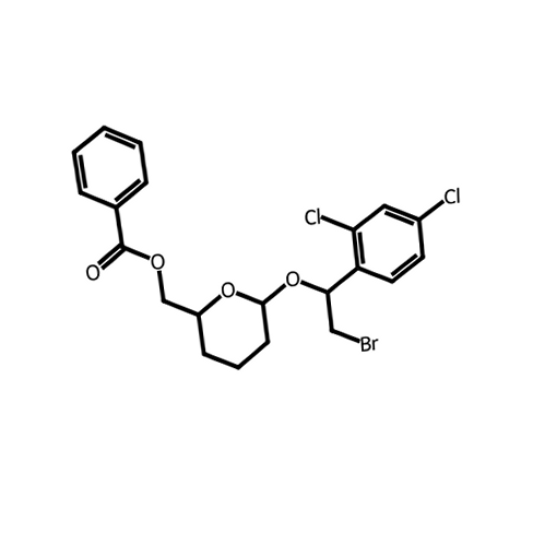 O=C(OCC1CCCC(OC(CBr)c2ccc(Cl)cc2Cl)O1)c1ccccc1